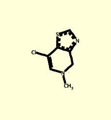 CN1C=C(Cl)c2scnc2C1